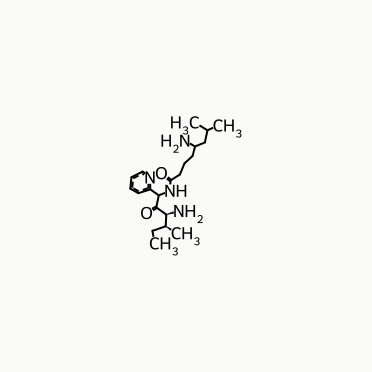 CC[C@H](C)[C@H](N)C(=O)C(NC(=O)CCCC(N)CC(C)C)c1ccccn1